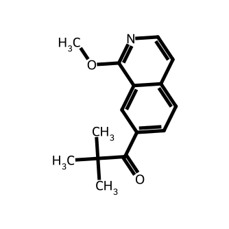 COc1nccc2ccc(C(=O)C(C)(C)C)cc12